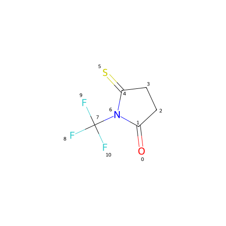 O=C1CCC(=S)N1C(F)(F)F